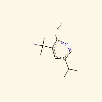 COc1ncc(C(C)C)cc1C(C)(C)P